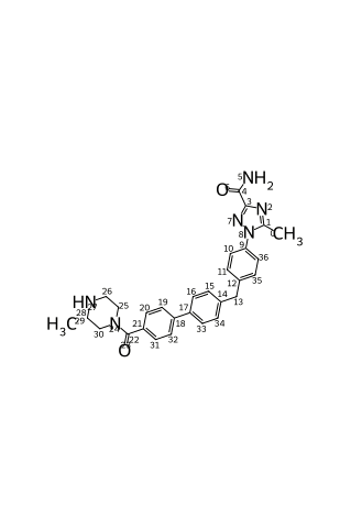 Cc1nc(C(N)=O)nn1-c1ccc(Cc2ccc(-c3ccc(C(=O)N4CCN[C@@H](C)C4)cc3)cc2)cc1